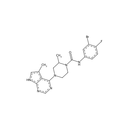 Cc1c[nH]c2ncnc(N3CCN(C(=O)Nc4ccc(F)c(Br)c4)C(C)C3)c12